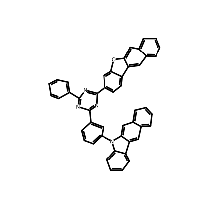 c1ccc(-c2nc(-c3cccc(-n4c5ccccc5c5cc6ccccc6cc54)c3)nc(-c3ccc4c(c3)oc3cc5ccccc5cc34)n2)cc1